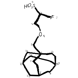 O=S(=O)(O)C(F)COCC12CC3CC(CC(C3)C1)C2